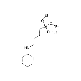 CCO[Si](CCCCNC1CCCCC1)(OCC)OCC